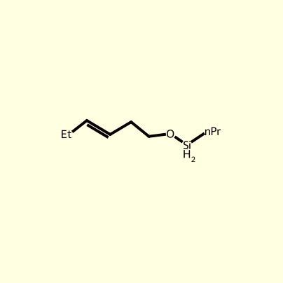 CCC=CCCO[SiH2]CCC